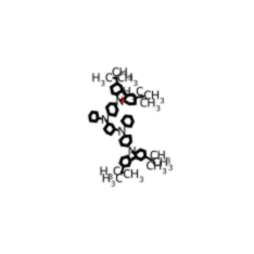 CC(C)(C)c1ccc2c(c1)c1cc(C(C)(C)C)ccc1n2-c1ccc(N(c2ccccc2)c2cccc(N(c3ccccc3)c3ccc(-n4c5ccc(C(C)(C)C)cc5c5cc(C(C)(C)C)ccc54)cc3)c2)cc1